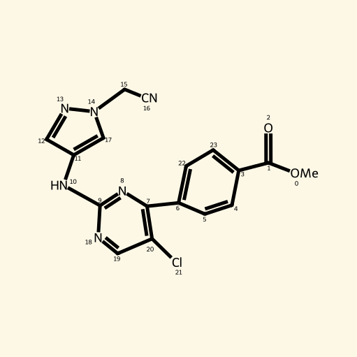 COC(=O)c1ccc(-c2nc(Nc3cnn(CC#N)c3)ncc2Cl)cc1